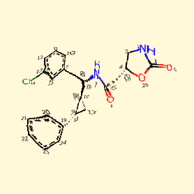 O=C1NC[C@@H](C(=O)N[C@H](c2cccc(Cl)c2)[C@@H]2C[C@@H]2c2ccccc2)O1